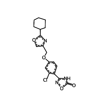 O=c1[nH]c(-c2ccc(OCc3coc(C4CCCCC4)n3)cc2Cl)no1